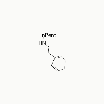 [CH2]CCCCNCCc1ccccc1